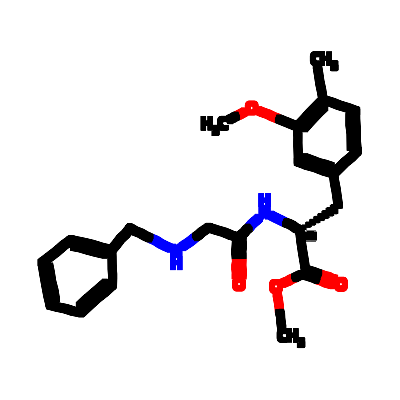 COC(=O)[C@@H](Cc1ccc(C)c(OC)c1)NC(=O)CNCc1ccccc1